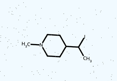 CC(I)C1CCN(C)CC1